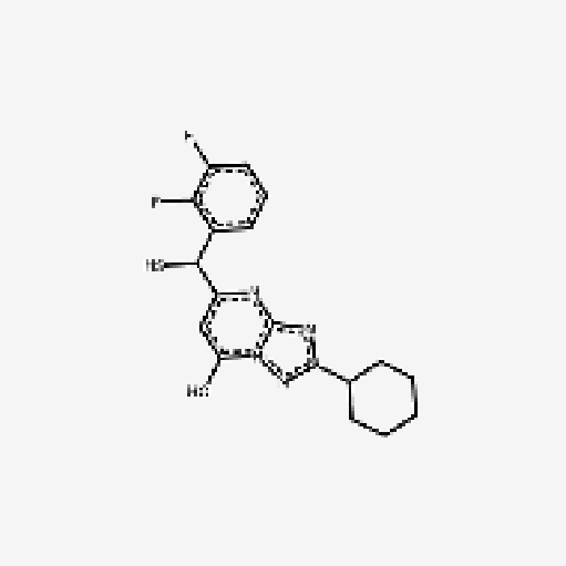 Oc1cc(C(S)c2cccc(F)c2F)nc2nc(C3CCCCC3)nn12